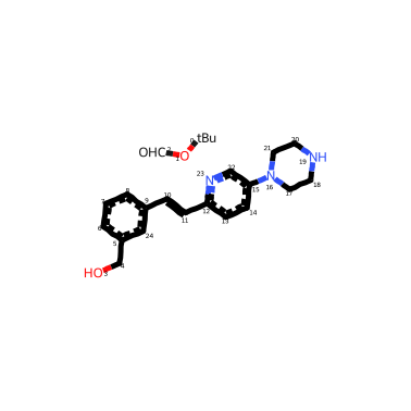 CC(C)(C)OC=O.OCc1cccc(C=Cc2ccc(N3CCNCC3)cn2)c1